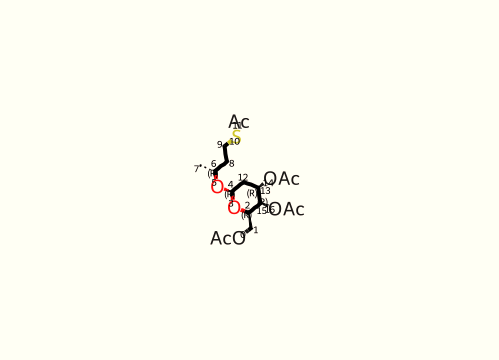 CC(=O)OC[C@H]1O[C@@H](O[C@H](C)CCSC(C)=O)C[C@@H](OC(C)=O)[C@H]1OC(C)=O